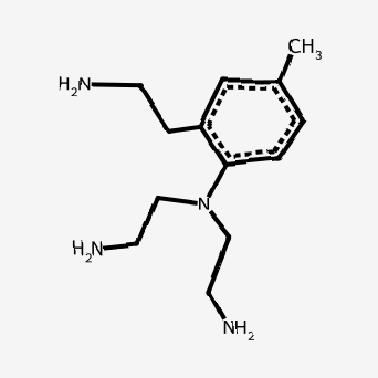 Cc1ccc(N(CCN)CCN)c(CCN)c1